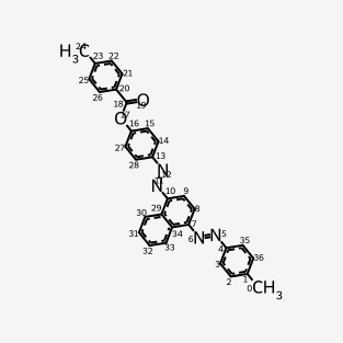 Cc1ccc(/N=N/c2ccc(/N=N/c3ccc(OC(=O)c4ccc(C)cc4)cc3)c3ccccc23)cc1